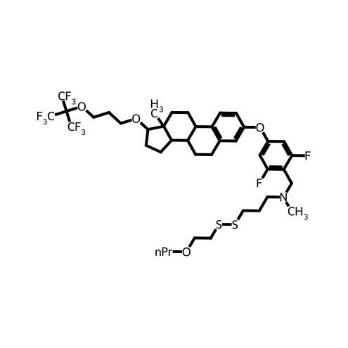 CCCOCCSSCCCN(C)Cc1c(F)cc(Oc2ccc3c(c2)CCC2C3CCC3(C)C(OCCCOC(C(F)(F)F)(C(F)(F)F)C(F)(F)F)CCC23)cc1F